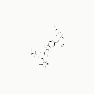 Cc1nonc1C(=O)N[C@@H](COC(C)(C)C(F)(F)F)c1nc2cc([C@@H](C3CC3)N3C[C@@H](C(F)(F)F)NC3=O)ccc2[nH]1